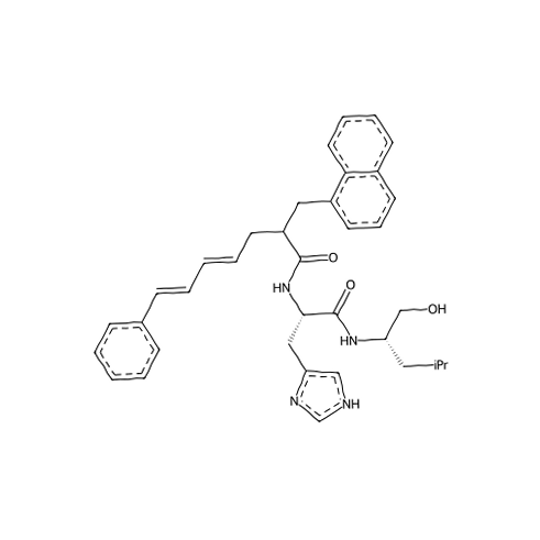 CC(C)C[C@@H](CO)NC(=O)[C@H](Cc1c[nH]cn1)NC(=O)C(CC=CC=Cc1ccccc1)Cc1cccc2ccccc12